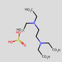 O=C(O)CN(CCN(CC(=O)O)CC(=O)O)CC(=O)O.O=S(O)O